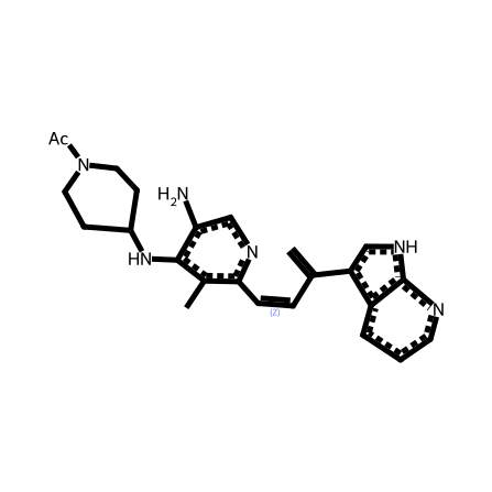 C=C(/C=C\c1ncc(N)c(NC2CCN(C(C)=O)CC2)c1C)c1c[nH]c2ncccc12